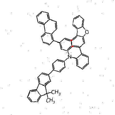 CC1(C)c2ccccc2-c2ccc(-c3ccc(N(c4cccc(-c5cccc6c5ccc5ccccc56)c4)c4ccccc4-c4ccc5c(c4)oc4ccccc45)cc3)cc21